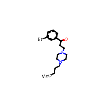 CCc1cccc(C(=O)CCN2CCN(CCCOC)CC2)c1